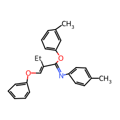 CC/C(=C\Oc1ccccc1)C(=Nc1ccc(C)cc1)Oc1cccc(C)c1